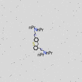 CCCN(C/C=C/c1ccc2c(c1)Sc1cccc(/C=C/CN(CCC)CCC)c1C2)CCC